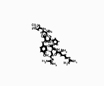 CC[C@H](C)C(NC(=O)[C@H](Cc1ccc(O)cc1)NC(=O)[C@@H]1CCCN1C(=O)[C@H](CCCN=C(N)N)NC(=O)[C@@H](N)CCCN=C(N)N)C(=O)N[C@@H](CC(C)C)C(=O)O